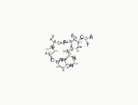 C=CC(=O)N1CC[C@H](Oc2ccc3ncnc(Nc4ccc(OC(F)F)c(F)c4F)c3n2)C1